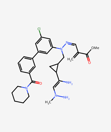 C=C(/C=N\N(CC1CC1/C(N)=C/N(C)N)c1cc(Cl)cc(-c2cccc(C(=O)N3CCCCC3)c2)c1)C(=O)OC